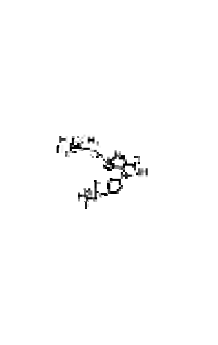 C[Si](C)(C)CCOCn1ccc2c3c(cnc21)C(=O)NCN3[C@H]1CC[C@H](CNCC(F)(F)Br)CC1